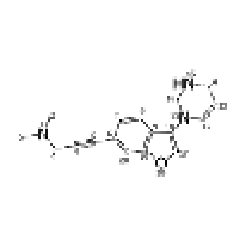 CN(C)CC#Cc1ccc2c(N3C=CCNC3)coc2c1